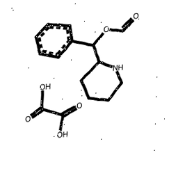 O=C(O)C(=O)O.O=COC(c1ccccc1)C1CCCCN1